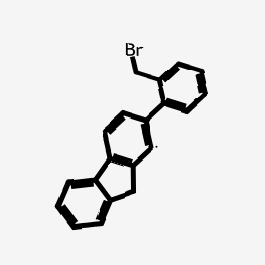 BrCc1ccccc1-c1[c]c2c(cc1)-c1ccccc1C2